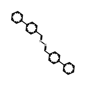 C(=NN=Cc1ccc(-c2ccccc2)cc1)c1ccc(-c2ccccc2)cc1